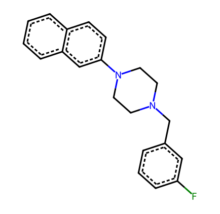 Fc1cccc(CN2CCN(c3ccc4ccccc4c3)CC2)c1